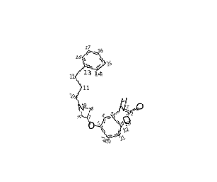 O=c1[nH]c2cc(OC3CN(CCCc4ccccc4)C3)ccc2o1